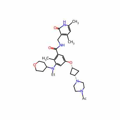 CCN(c1cc(O[C@H]2C[C@@H](N3CCN(C(C)=O)CC3)C2)cc(C(=O)NCc2c(C)cc(C)[nH]c2=O)c1C)C1CCOCC1